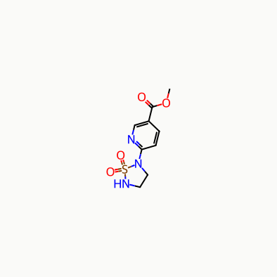 COC(=O)c1ccc(N2CCNS2(=O)=O)nc1